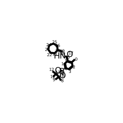 Cc1ccc(B2OC(C)(C)C(C)(C)O2)cc1C(=O)NCC1CCCCCC1